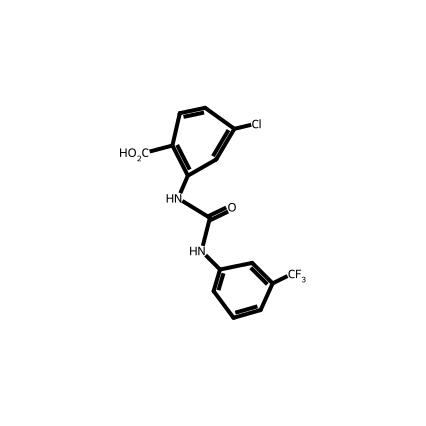 O=C(Nc1cccc(C(F)(F)F)c1)Nc1cc(Cl)ccc1C(=O)O